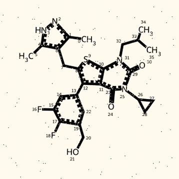 Cc1n[nH]c(C)c1Cc1sc2c(c1-c1cc(F)c(F)c(CO)c1)c(=O)n(C1CC1)c(=O)n2CC(C)C